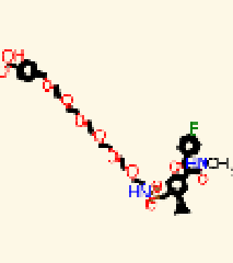 CNC(=O)c1c(-c2ccc(F)cc2)oc2cc(CS(=O)(=O)NCCOCCOCCOCCOCCOCCOCc3ccc(C(=O)O)cc3)c(C3CC3)cc12